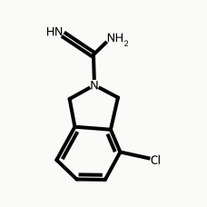 N=C(N)N1Cc2cccc(Cl)c2C1